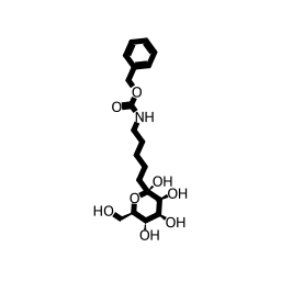 O=C(NCCCCC[C@]1(O)O[C@H](CO)[C@@H](O)[C@H](O)[C@@H]1O)OCc1ccccc1